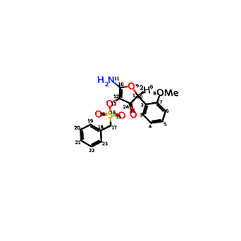 [2H][C@]1(c2ccccc2OC)OC(N)=C(OS(=O)(=O)Cc2ccccc2)C1=O